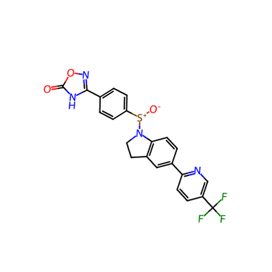 O=c1[nH]c(-c2ccc([S+]([O-])N3CCc4cc(-c5ccc(C(F)(F)F)cn5)ccc43)cc2)no1